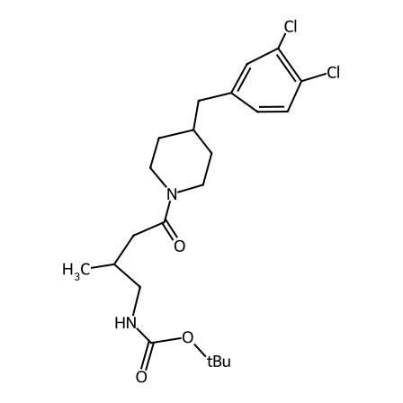 CC(CNC(=O)OC(C)(C)C)CC(=O)N1CCC(Cc2ccc(Cl)c(Cl)c2)CC1